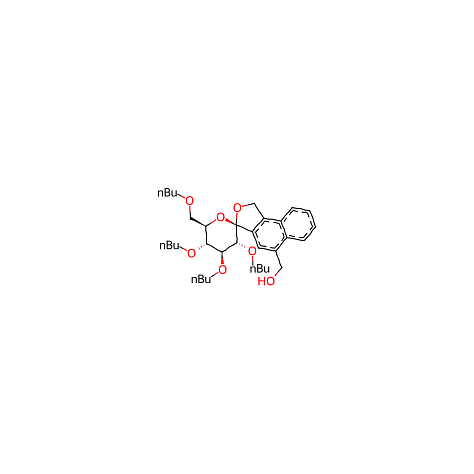 CCCCOC[C@H]1O[C@]2(OCc3c2cc(CO)c2ccccc32)[C@H](OCCCC)[C@@H](OCCCC)[C@@H]1OCCCC